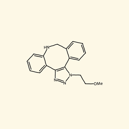 COCCn1nnc2c1-c1ccccc1CNc1ccccc1-2